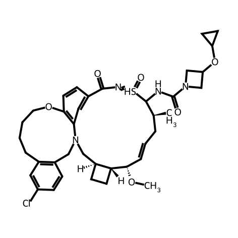 CO[C@H]1/C=C/C[C@H](C)C(NC(=O)N2CC(OC3CC3)C2)/[SH](=O)=N\C(=O)c2ccc3c(c2)N(Cc2ccc(Cl)cc2CCCCO3)C[C@@H]2CC[C@H]21